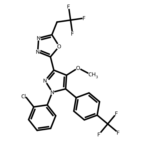 COc1c(-c2nnc(CC(F)(F)F)o2)nn(-c2ccccc2Cl)c1-c1ccc(C(F)(F)F)cc1